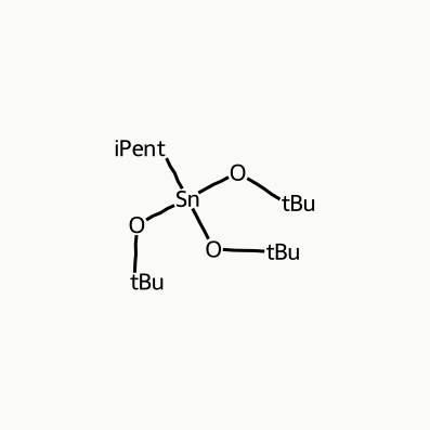 CCC[CH](C)[Sn]([O]C(C)(C)C)([O]C(C)(C)C)[O]C(C)(C)C